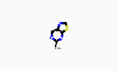 COc1ncc2n[c]sc2n1